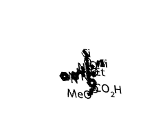 C=C(OCC)c1c(C2CCC(OCCOC)(C(=O)O)CC2)nc2c(-c3cnn(-c4ccccc4)c3)cnn2c1N(COCC[Si](C)(C)C)COCC[Si](C)(C)C